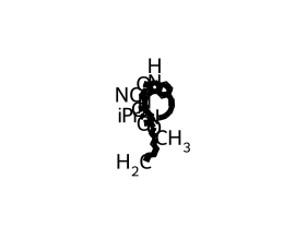 C=C/C=C\C=C(/C)COC(=O)N1CCC/C=C\c2ccc3c(c2)[C@@]2(C[C@@H](C#N)N(C2)C(=O)[C@@H]1CC(C)C)C(=O)N3